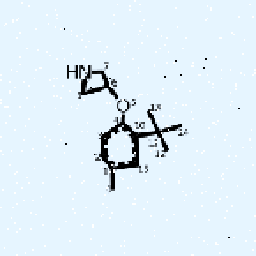 Cc1ccc(OC2CNC2)c(C(C)(C)C)c1